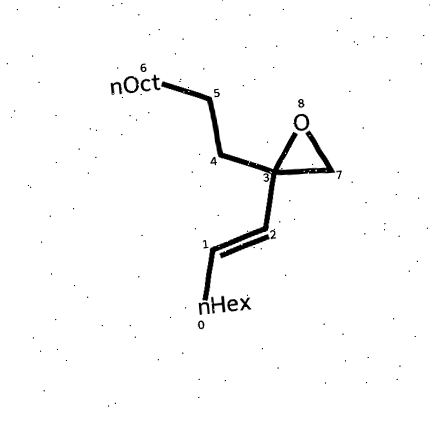 CCCCCCC=CC1(CCCCCCCCCC)CO1